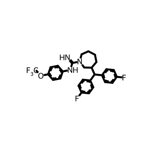 N=C(Nc1ccc(OC(F)(F)F)cc1)N1CCCCC(C(c2ccc(F)cc2)c2ccc(F)cc2)C1